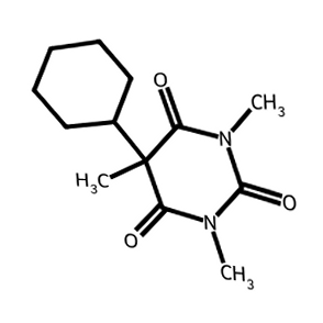 CN1C(=O)N(C)C(=O)C(C)(C2CCCCC2)C1=O